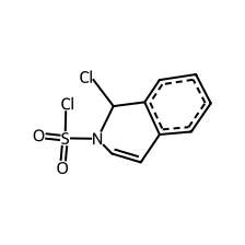 O=S(=O)(Cl)N1C=Cc2ccccc2C1Cl